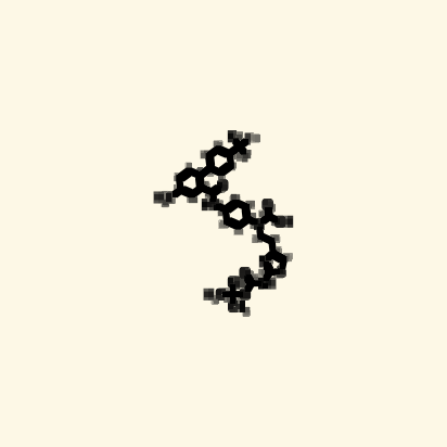 Cc1ccc(-c2ccc(C(F)(F)F)cc2)c(C(=O)Nc2ccc(N(CCc3csc(NC(=O)OC(C)(C)C)n3)C(=O)O)cc2)c1